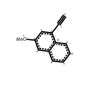 C#Cc1cc(OC)cc2ccccc12